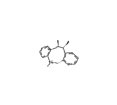 C[C@@H]1c2ccccc2N(C)Cc2ccccc2[C@@H]1C